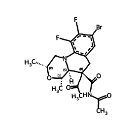 CC(=O)NC(=O)[C@]1(C(C)=O)Cc2cc(Br)c(F)c(F)c2N2C[C@@H](C)O[C@@H](C)[C@@H]21